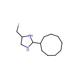 ICC1CNC(C2CCCCCCCC2)N1